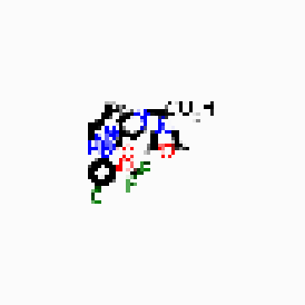 CC(C)c1ccnn1C1(C(=O)Nc2ccc(Cl)cc2OC(F)F)CCN(C[C@H](C(=O)O)N2C[C@@H](C)O[C@H](C)C2)CC1